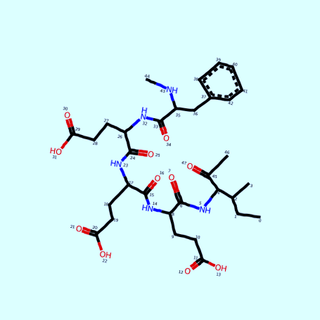 CCC(C)C(NC(=O)C(CCC(=O)O)NC(=O)C(CCC(=O)O)NC(=O)C(CCC(=O)O)NC(=O)C(Cc1ccccc1)NC)C(C)=O